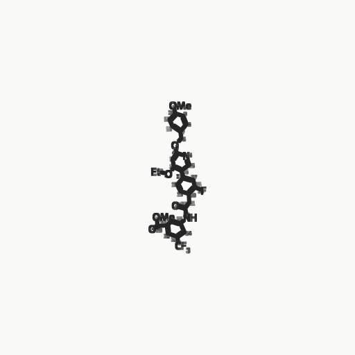 CCOc1cc(OCc2ccc(OC)cc2)ncc1-c1ccc(CC(=O)Nc2cc(C(=O)OC)cc(C(F)(F)F)c2)c(F)c1